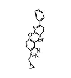 Brc1c(Oc2nccc(-c3ccccc3)n2)ccc2c1nnn2CC1CC1